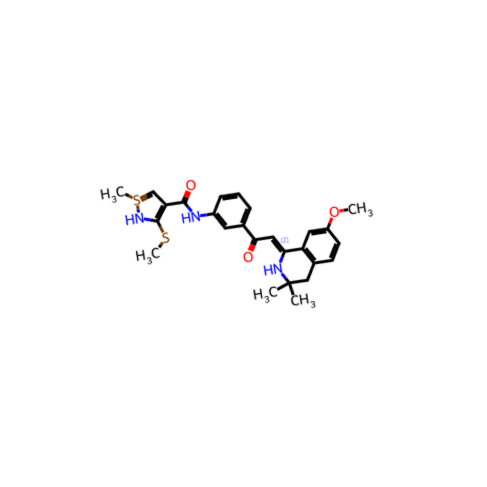 COc1ccc2c(c1)/C(=C/C(=O)c1cccc(NC(=O)C3=C(SC)NS(C)=C3)c1)NC(C)(C)C2